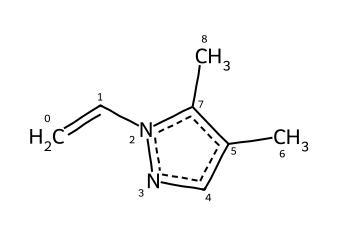 C=Cn1ncc(C)c1C